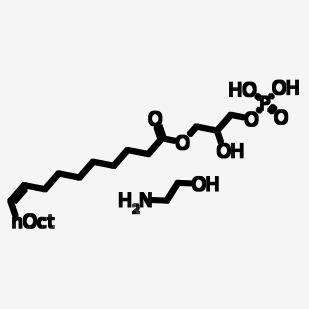 CCCCCCCC/C=C\CCCCCCCC(=O)OCC(O)COP(=O)(O)O.NCCO